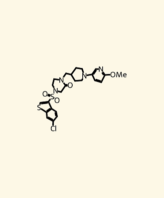 COc1ccc(N2CCC(CN3CCN(S(=O)(=O)c4csc5cc(Cl)ccc45)CC3=O)CC2)cn1